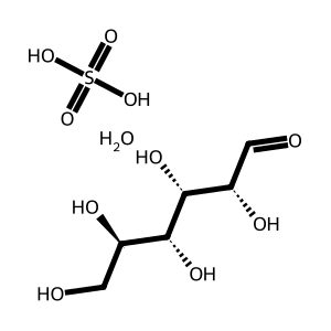 O.O=C[C@H](O)[C@@H](O)[C@H](O)[C@H](O)CO.O=S(=O)(O)O